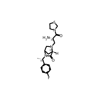 C[C@@H](c1ccc(F)cc1)N1C(=O)[C@@H]2CC1CN2C[C@H](N)C(=O)N1CCSC1